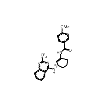 COc1ccc(C(=O)NC2=C[C@@H](Nc3nc(C(F)(F)F)nc4ccccc34)CCC2)cc1